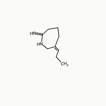 CCC=C1CCCC(=N)NC1